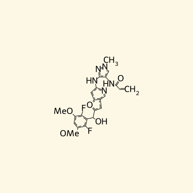 C=CC(=O)Nc1cn(C)nc1Nc1cc2oc(C(O)c3c(F)c(OC)cc(OC)c3F)cc2cn1